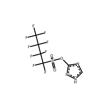 O=S(=O)(Oc1nc[nH]n1)C(F)(F)C(F)(F)C(F)(F)C(F)(F)F